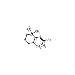 CC(=O)C(C)=CC1C(C)CCCC1(C)C